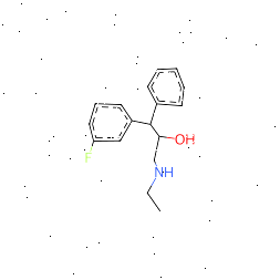 CCNCC(O)C(c1ccccc1)c1cccc(F)c1